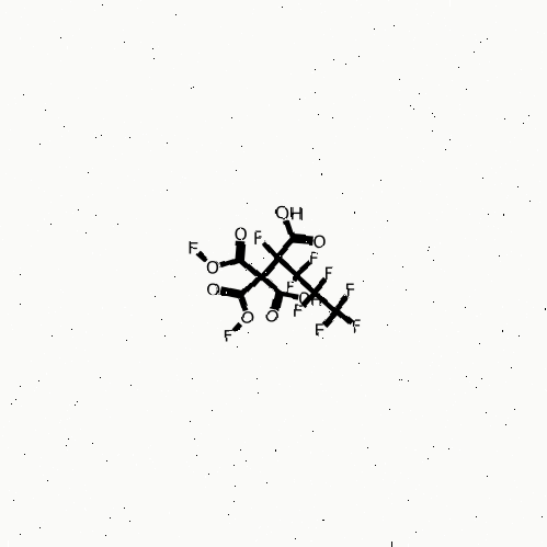 O=C(O)C(C(=O)OF)(C(=O)OF)C(F)(C(=O)O)C(F)(F)C(F)(F)C(F)(F)F